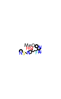 COc1ccc2ncc(N(C)C)c([C@H](F)CCC3(CO)CCN(CCSc4ccccn4)CC3)c2c1